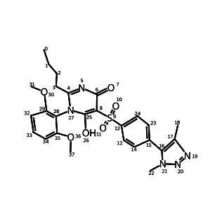 CCCCc1nc(=O)c(S(=O)(=O)c2ccc(-c3c(C)nnn3C)cc2)c(O)n1-c1c(OC)cccc1OC